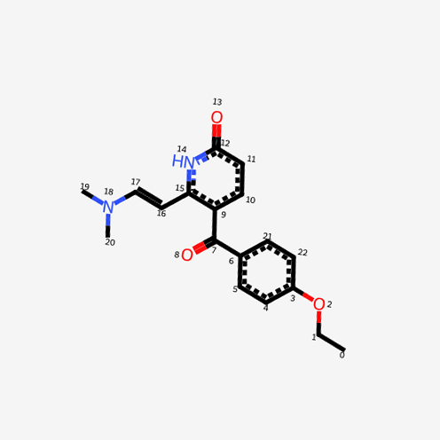 CCOc1ccc(C(=O)c2ccc(=O)[nH]c2C=CN(C)C)cc1